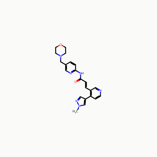 Cn1cc(-c2ccncc2C=CC(=O)Nc2ccc(CN3CCOCC3)cn2)cn1